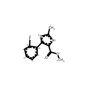 COC(=O)c1nc(C)sc1-c1ccccc1F